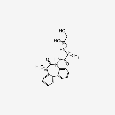 C[C@H](NC[C@@H](O)CO)C(=O)NN1C(=O)[C@@H](C)c2ccccc2-c2ccccc21